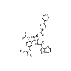 CC(C)Sc1ccc(OC(F)F)c(C2NN(CC(=O)N3CCN(C4CCOCC4)CC3)C=C2NC(=O)c2cnn3cccnc23)c1